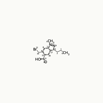 CCCc1nn(C)c2cc(CBr)c(C(=O)O)cc12